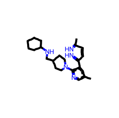 CC(=N)/C=C\C(=N)c1cc(C)cnc1N1CCC(CNC2CCCCC2)CC1